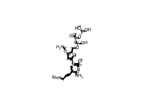 CNCC#Cc1cn([C@H]2C[C@@H](OCN)C(COP(O)OP(O)OP(O)O)O2)c(=O)nc1N